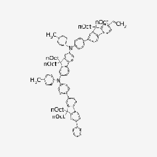 C=Cc1ccc2c(c1)C(CCCCCCCC)(CCCCCCCC)c1cc(-c3ccc(N(c4ccc(C)cc4)c4ccc5c(c4)C(CCCCCCCC)(CCCCCCCC)c4cc(N(c6ccc(C)cc6)c6ccc(-c7ccc8c(c7)C(CCCCCCCC)(CCCCCCCC)c7cc(-c9ccccc9)ccc7-8)cc6)ccc4-5)cc3)ccc1-2